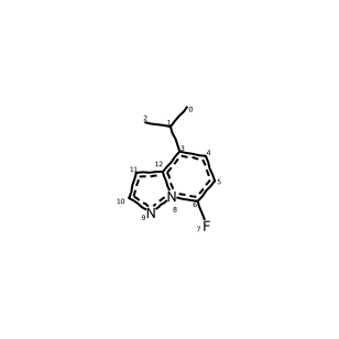 CC(C)c1ccc(F)n2nccc12